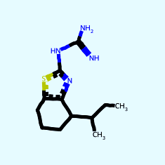 CCC(C)C1CCCc2sc(NC(=N)N)nc21